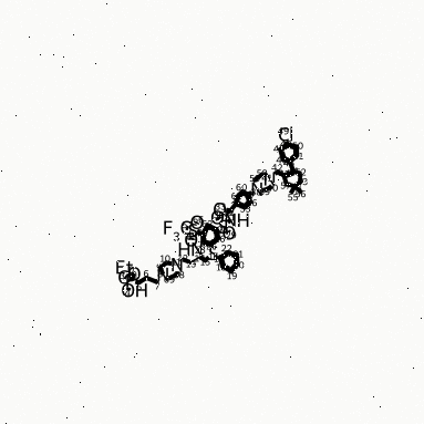 CCOP(=O)(O)CCCN1CCN(CC[C@H](CSc2ccccc2)Nc2ccc(S(=O)(=O)NC(=O)c3ccc(N4CCN(CC5=C(c6ccc(Cl)cc6)CCC(C)(C)C5)CC4)cc3)cc2S(=O)(=O)C(F)(F)F)CC1